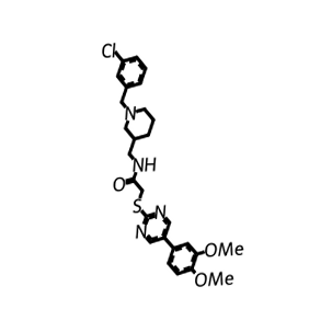 COc1ccc(-c2cnc(SCC(=O)NCC3CCCN(Cc4cccc(Cl)c4)C3)nc2)cc1OC